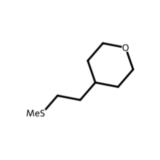 CSCCC1CCOCC1